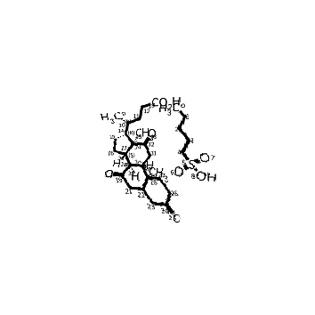 CCCCCS(=O)(=O)O.C[C@H](CCC(=O)O)[C@H]1CC[C@H]2[C@@H]3C(=O)CC4CC(=O)CC[C@]4(C)[C@H]3CC(=O)[C@]12C